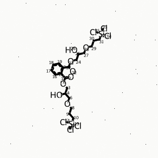 O=C(OCC(O)COCCC[Si](Cl)(Cl)Cl)c1ccccc1C(=O)OCC(O)COCCC[Si](Cl)(Cl)Cl